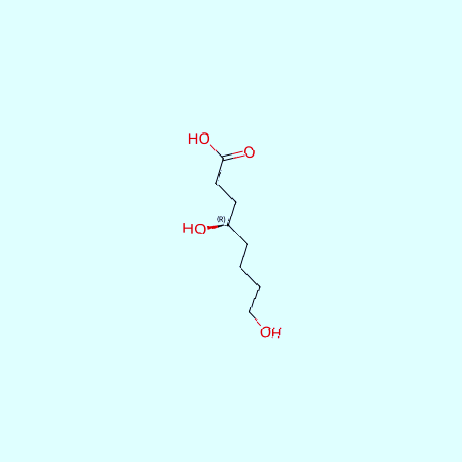 O=C(O)CC[C@H](O)CCCCO